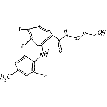 Cc1ccc(Nc2c(C(=O)NOOCO)ccc(F)c2F)c(F)c1